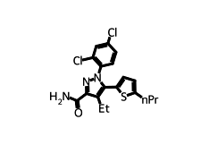 CCCc1ccc(-c2c(CC)c(C(N)=O)nn2-c2ccc(Cl)cc2Cl)s1